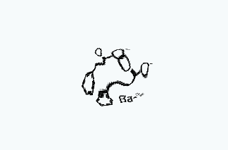 O=C([O-])C=Cc1ccccc1.O=C([O-])C=Cc1ccccc1.[Ba+2]